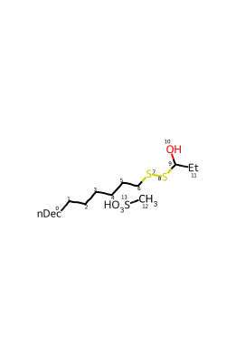 CCCCCCCCCCCCCCCCSSC(O)CC.CS(=O)(=O)O